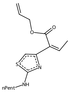 C=CCOC(=O)C(=CC)c1csc(NCCCCC)n1